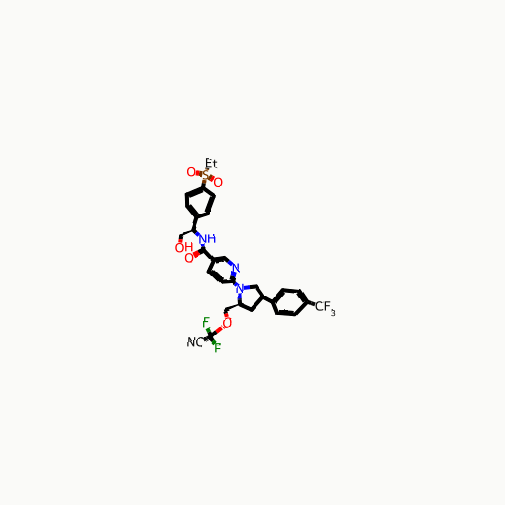 CCS(=O)(=O)c1ccc([C@H](CO)NC(=O)c2ccc(N3CC(c4ccc(C(F)(F)F)cc4)C[C@H]3COC(F)(F)C#N)nc2)cc1